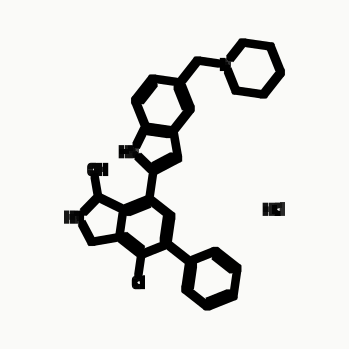 Cl.OC1NCc2c(Cl)c(-c3ccccc3)cc(-c3cc4cc(CN5CCCCC5)ccc4[nH]3)c21